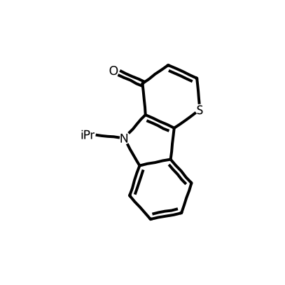 CC(C)n1c2ccccc2c2sccc(=O)c21